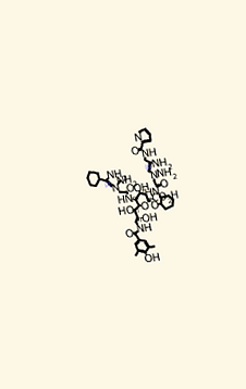 Cc1cc(C(=O)NC[C@@H](O)[C@@H](O)C2O[C@@](OC3CCCCC3NC(=O)CN(N)/C=C(\N)CNC(=O)c3ccccn3)(C(=O)O)C[C@H](O)[C@H]2NC(=O)CN(N)/C=C(\N)C2CCCCC2)cc(C)c1O